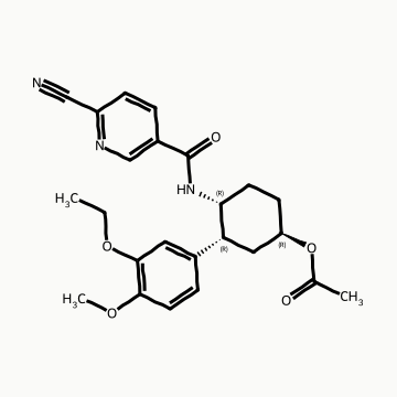 CCOc1cc([C@H]2C[C@H](OC(C)=O)CC[C@H]2NC(=O)c2ccc(C#N)nc2)ccc1OC